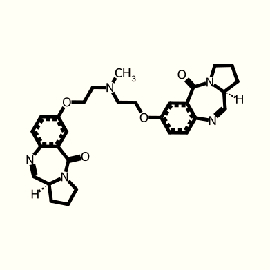 CN(CCOc1ccc2c(c1)C(=O)N1CCC[C@H]1C=N2)CCOc1ccc2c(c1)C(=O)N1CCC[C@H]1C=N2